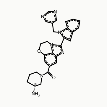 N[C@@H]1CCCN(C(=O)c2cc3c4c(c2)nc(-c2cc5ccccc5n2Cc2cncnc2)n4CCO3)C1